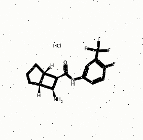 Cl.N[C@H]1[C@@H]2CCC[C@@H]2[C@H]1C(=O)Nc1ccc(F)c(C(F)(F)F)c1